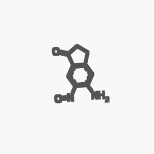 Nc1cc2c(cc1N=O)C(=O)CC2